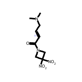 CN(C)C/C=C/C(=O)N1CC([N+](=O)[O-])([N+](=O)[O-])C1